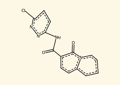 O=C(Nc1ccc(Cl)nn1)c1ccc2ccccn2c1=O